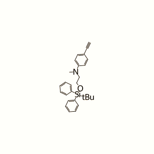 C#Cc1ccc(N(C)CCO[Si](c2ccccc2)(c2ccccc2)C(C)(C)C)cc1